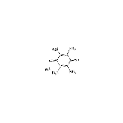 Cl.NC1=C(N)C(=O)C(N)=C(N)C1=O